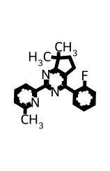 Cc1cccc(-c2nc(-c3ccccc3F)c3c(n2)C(C)(C)CC3)n1